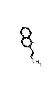 CC=Cc1[c]c2ccccc2cc1